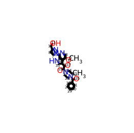 COc1cnc(-n2ccc(CO)n2)c2c1C(C(=O)C(=O)N1CCN(C(=O)c3ccccc3)C(C)C1)CN2